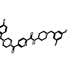 O=C(NC1CCN(Cc2cc(F)cc(F)c2)CC1)c1ccc(C(=O)N2CCN(Cc3ccc(F)cc3)CC2)cn1